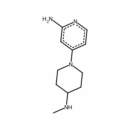 CNC1CCN(c2ccnc(N)c2)CC1